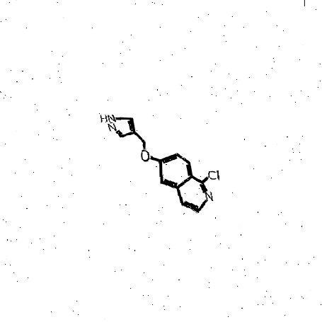 Clc1nccc2cc(OCc3cn[nH]c3)ccc12